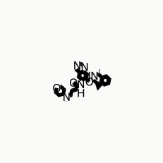 C[C@@H](NC(Oc1cc2ncncc2cc1NC(=O)C=CCN(C)C1CCOCC1)C1CC1)c1ccccc1